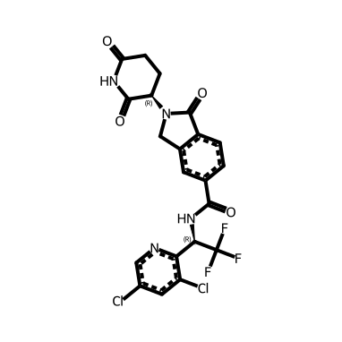 O=C1CC[C@@H](N2Cc3cc(C(=O)N[C@H](c4ncc(Cl)cc4Cl)C(F)(F)F)ccc3C2=O)C(=O)N1